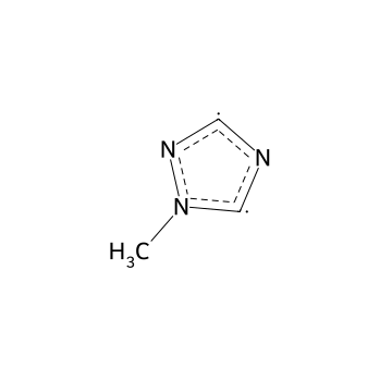 Cn1[c]n[c]n1